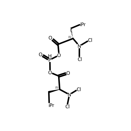 CC(C)C[C@@H](C(=O)O[PH](=O)OC(=O)[C@H](CC(C)C)N(Cl)Cl)N(Cl)Cl